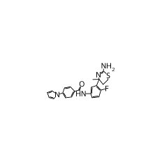 CC1(c2cc(NC(=O)c3ccc(-n4cccc4)cc3)ccc2F)CCSC(N)=N1